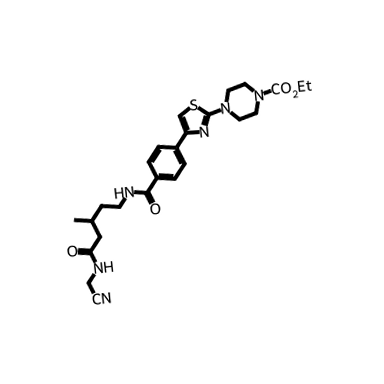 CCOC(=O)N1CCN(c2nc(-c3ccc(C(=O)NCCC(C)CC(=O)NCC#N)cc3)cs2)CC1